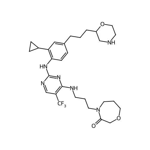 O=C1COCCCN1CCCNc1nc(Nc2ccc(CCCC3CNCCO3)cc2C2CC2)ncc1C(F)(F)F